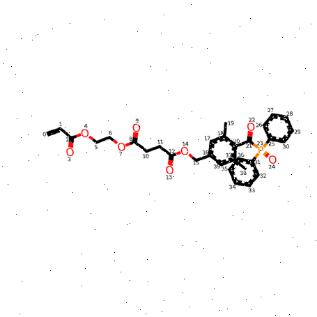 C=CC(=O)OCCOC(=O)CCC(=O)OCc1cc(C)c(C(=O)P(=O)(c2ccccc2)c2ccccc2)c(C)c1